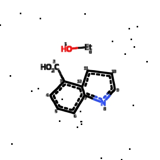 CCO.O=C(O)c1cccc2ncccc12